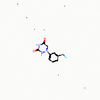 O=C1CN(c2cccc(CF)c2)NC(=O)N1